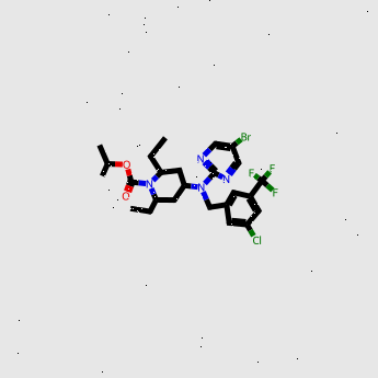 CCC1CC(N(Cc2cc(Cl)cc(C(F)(F)F)c2)c2ncc(Br)cn2)CC(CC)N1C(=O)OC(C)C